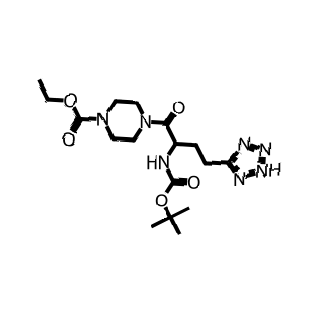 CCOC(=O)N1CCN(C(=O)C(CCc2nn[nH]n2)NC(=O)OC(C)(C)C)CC1